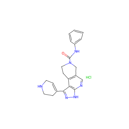 Cl.O=C(Nc1ccccc1)N1CCc2c(cnc3[nH]nc(C4=CCNCC4)c23)C1